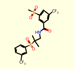 CC(C)(CNC(=O)c1cc(C(F)(F)F)cc(S(C)(=O)=O)c1)S(=O)(=O)c1cccc(C(F)(F)F)c1